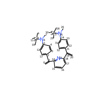 C=C(c1ccc(N(C)[Si](C)(C)C)cc1)c1cccc(C(=C)c2ccc(N(C)[Si](C)(C)C)cc2)n1